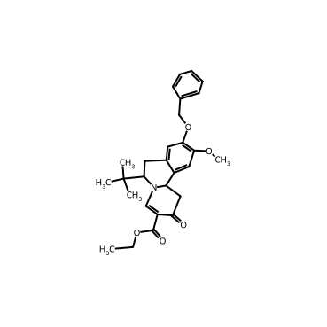 CCOC(=O)C1=CN2C(CC1=O)c1cc(OC)c(OCc3ccccc3)cc1CC2C(C)(C)C